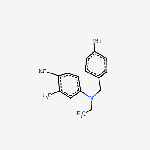 CC(C)(C)c1ccc(CN(CC(F)(F)F)c2ccc(C#N)c(C(F)(F)F)c2)cc1